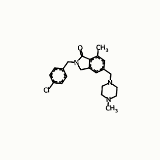 Cc1cc(CN2CCN(C)CC2)cc2c1C(=O)N(Cc1ccc(Cl)cc1)C2